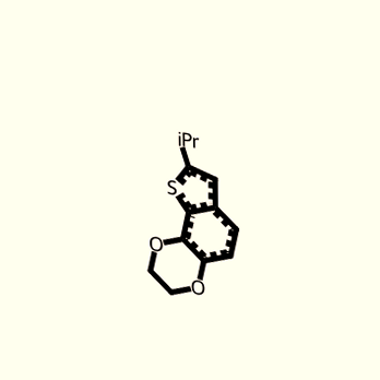 CC(C)c1cc2ccc3c(c2s1)OCCO3